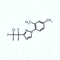 Cc1ccc(-n2cnc(C(F)(F)C(F)(F)Cl)n2)c(C)c1